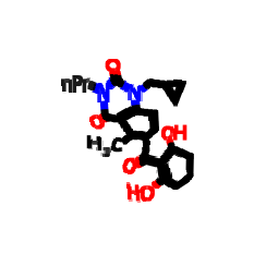 CCCn1c(=O)c2c(C)c(C(=O)C3=C(O)CCCC3O)ccc2n(CC2CC2)c1=O